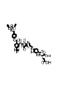 C#COP(=O)(OC#C)OCc1ccc(OC(=O)c2ccc(C(F)(F)F)cc2Nc2nc(=O)c3nc(CNc4ccc(C(=O)N[C@@H](CCC(=O)O)C(=O)O)cc4)cnc3[nH]2)cc1